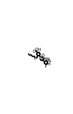 CCCCCN(C)Cc1cc(C(=O)O)ccc1-n1ccc2c([nH]c3c(NC)cc(F)cc32)c1=O